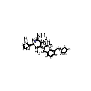 N/C(=N/Cc1ncc[nH]1)c1[nH]c(=O)n(Cc2cccc(CN3CCCC3)c2)c1N